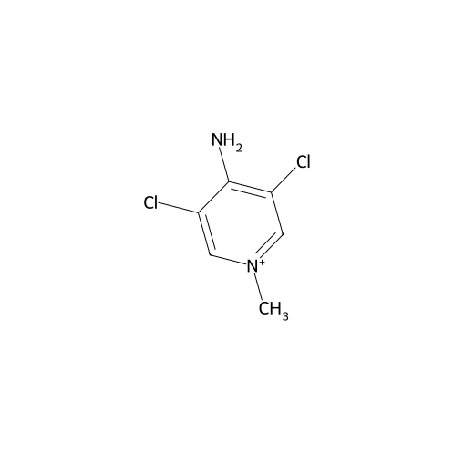 C[n+]1cc(Cl)c(N)c(Cl)c1